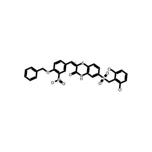 O=C1Nc2cc(S(=O)(=O)Cc3c(Cl)cccc3Cl)ccc2S/C1=C/c1ccc(OCc2ccccc2)c([N+](=O)[O-])c1